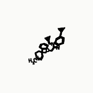 CN1CCC(COCc2nc3ccc(C4CC4)cc3n2CC2CC2)(c2ccccc2)CC1